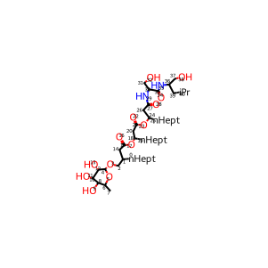 CCCCCCCC(COC1OC(C)C(O)C(O)C1O)CC(=O)OC(CCCCCCC)CC(=O)OC(CCCCCCC)CC(=O)NC(CO)C(=O)NC(CO)CC(C)C